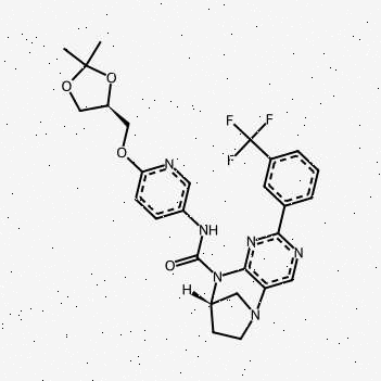 CC1(C)OC[C@H](COc2ccc(NC(=O)N3c4nc(-c5cccc(C(F)(F)F)c5)ncc4N4CC[C@H]3C4)cn2)O1